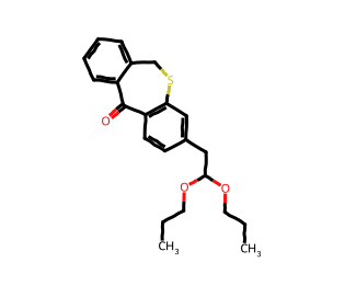 CCCOC(Cc1ccc2c(c1)SCc1ccccc1C2=O)OCCC